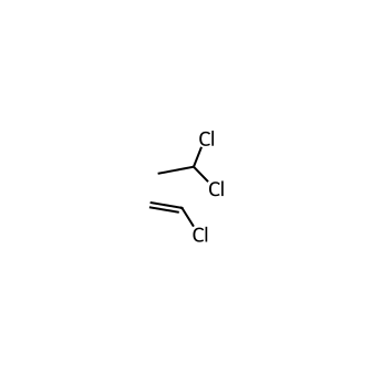 C=CCl.CC(Cl)Cl